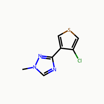 Cn1cnc(-c2cscc2Cl)n1